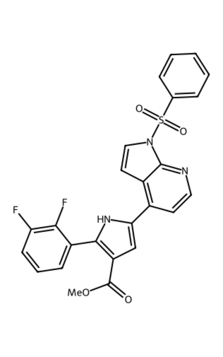 COC(=O)c1cc(-c2ccnc3c2ccn3S(=O)(=O)c2ccccc2)[nH]c1-c1cccc(F)c1F